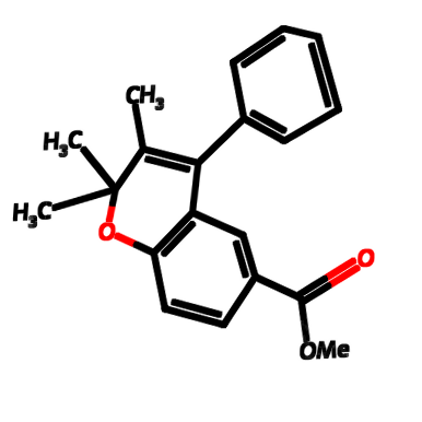 COC(=O)c1ccc2c(c1)C(c1ccccc1)=C(C)C(C)(C)O2